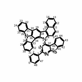 c1ccc(-c2nc(-n3c4ccc5ccccc5c4c4cc5c6ccccc6n6c7ccccc7c(c43)c56)c3c(n2)sc2ccccc23)cc1